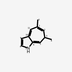 CC1=CC(C)C=c2[nH]ccc2=C1